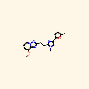 COc1cccn2nc(CCc3nc(-c4ccc(C)o4)cn3C)nc12